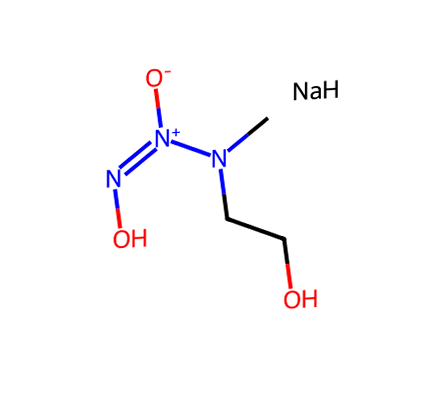 CN(CCO)/[N+]([O-])=N\O.[NaH]